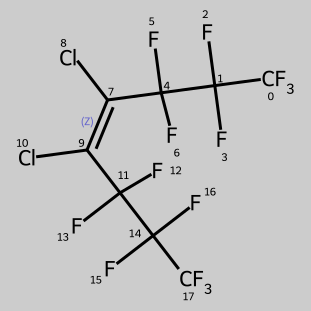 FC(F)(F)C(F)(F)C(F)(F)/C(Cl)=C(/Cl)C(F)(F)C(F)(F)C(F)(F)F